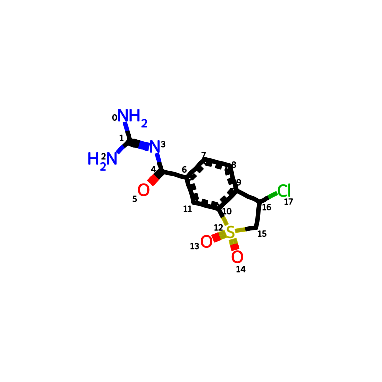 NC(N)=NC(=O)c1ccc2c(c1)S(=O)(=O)CC2Cl